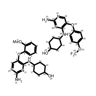 COc1ccccc1Oc1cnc(N)nc1NC1CCC(O)CC1.Nc1ncc(Oc2ccc(OC(F)(F)F)cc2)c(NC2CCC(O)CC2)n1